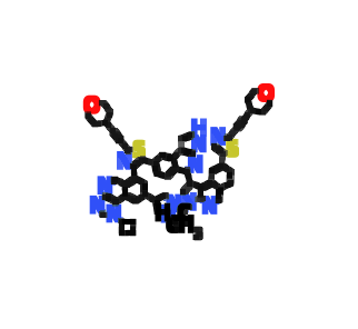 Cn1cc(-c2cc(-c3nc(C#CC4CCOCC4)sc3-c3ccc4c(-c5cn(C)c6ncc7ccc(-c8cnc(C#CC9CCOCC9)s8)cc7c56)nc5[nH]ccc5c4c3)c3cnc4ncn(C5CCC5)c4c3c2)cn1